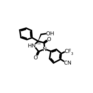 N#Cc1ccc(N2C(=O)N[C@](CO)(c3ccccc3)C2=O)cc1C(F)(F)F